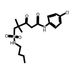 CCCCNS(=O)(=O)CC(C)(C)C(=O)CC(=O)Nc1ccc(Cl)cc1